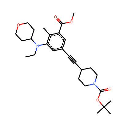 CCN(c1cc(C#CC2CCN(C(=O)OC(C)(C)C)CC2)cc(C(=O)OC)c1C)C1CCOCC1